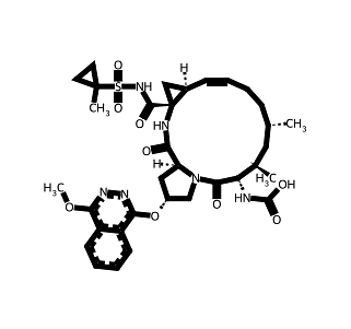 COc1nnc(O[C@@H]2C[C@H]3C(=O)N[C@]4(C(=O)NS(=O)(=O)C5(C)CC5)C[C@H]4C=CCC[C@H](C)C[C@@H](C)[C@H](NC(=O)O)C(=O)N3C2)c2ccccc12